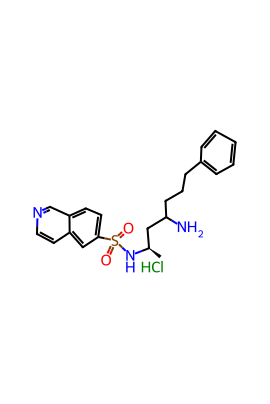 C[C@H](CC(N)CCCc1ccccc1)NS(=O)(=O)c1ccc2cnccc2c1.Cl